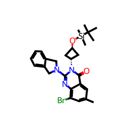 Cc1cc(Br)c2nc(N3Cc4ccccc4C3)n([C@H]3C[C@H](O[Si](C)(C)C(C)(C)C)C3)c(=O)c2c1